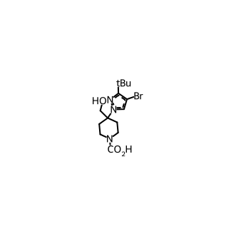 CC(C)(C)c1nn(C2(CO)CCN(C(=O)O)CC2)cc1Br